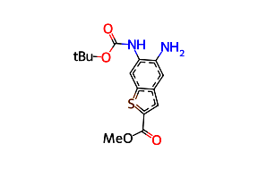 COC(=O)c1cc2cc(N)c(NC(=O)OC(C)(C)C)cc2s1